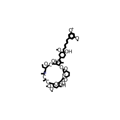 CCC1/C=C(\C)CC(C)CC(OC)C2OC(O)(C(=O)C(=O)N3CCCCC3C(=O)OC(C(C)=CC3CCC(O)(CC=CC=Cc4cc(OC)cc(OC)c4)C(OC)C3)C(C)C(O)CC1=O)C(C)CC2OC